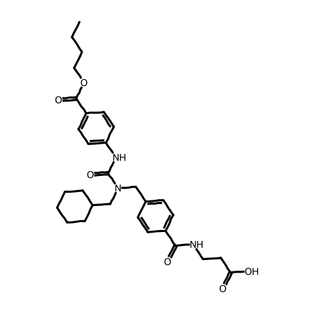 CCCCOC(=O)c1ccc(NC(=O)N(Cc2ccc(C(=O)NCCC(=O)O)cc2)CC2CCCCC2)cc1